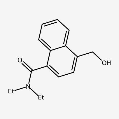 CCN(CC)C(=O)c1ccc(CO)c2ccccc12